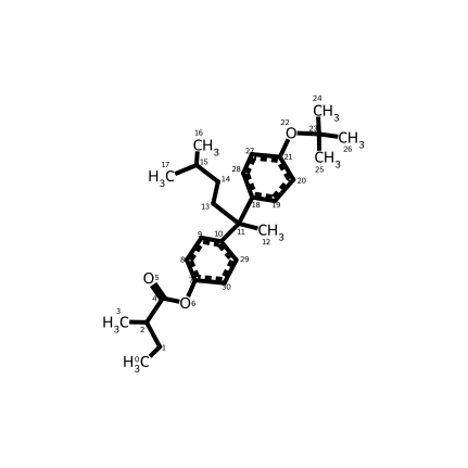 CCC(C)C(=O)Oc1ccc(C(C)(CCC(C)C)c2ccc(OC(C)(C)C)cc2)cc1